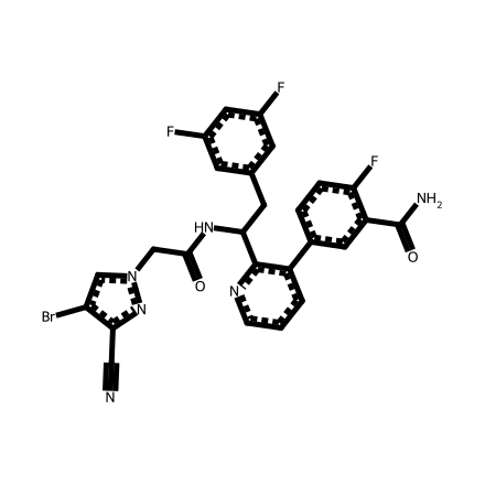 N#Cc1nn(CC(=O)NC(Cc2cc(F)cc(F)c2)c2ncccc2-c2ccc(F)c(C(N)=O)c2)cc1Br